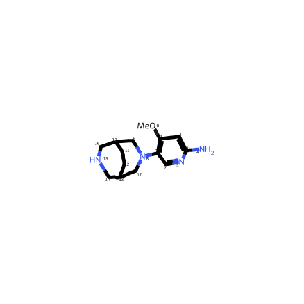 COc1cc(N)ncc1N1CC2CCC(CNC2)C1